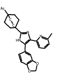 CC(=O)C12CCC(c3nc(-c4cccc(C)n4)c(-c4ccc5c(c4)OCO5)[nH]3)(CC1)CC2